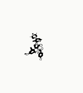 COc1cc(C)c([C@@H]2CN(c3nccc(N4C[C@@H](C)N(C)[C@@H](C)C4)c3C)C(=O)[C@H]2NC(=O)c2ccc(Cl)cc2)c(F)c1